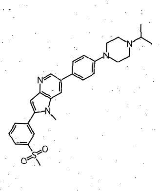 CC(C)N1CCN(c2ccc(-c3cnc4cc(-c5cccc(S(C)(=O)=O)c5)n(C)c4c3)cc2)CC1